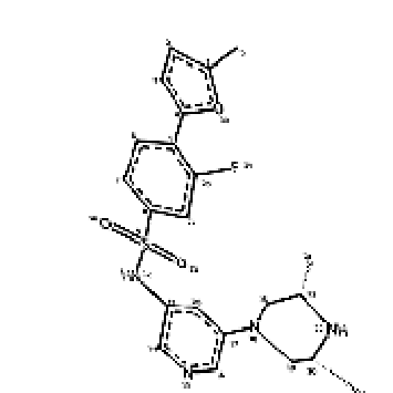 Cc1ccc(-c2ccc(S(=O)(=O)Nc3cncc(N4C[C@@H](C)N[C@@H](C)C4)c3)cc2F)o1